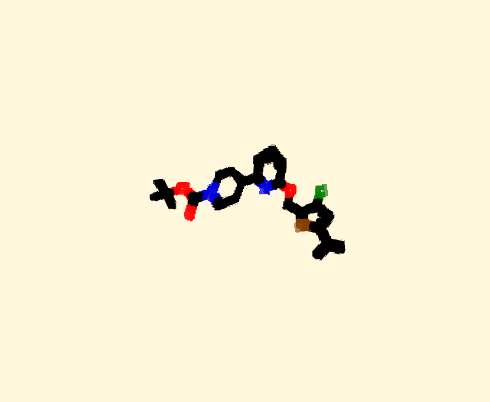 C=C(C)c1cc(Cl)c(COc2cccc(C3CCN(C(=O)OC(C)(C)C)CC3)n2)s1